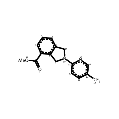 COC(=O)c1cccc2c1CN(c1ccc(C(F)(F)F)cn1)C2